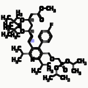 COC(=O)C[C@H]1C[C@@H](/C=C/c2c(C(C)C)nc(C(C)C)c(COCP(=O)(OC(C)C)OC(C)C)c2-c2ccc(F)cc2)O[Si](C(C)(C)C)(C(C)(C)C)O1